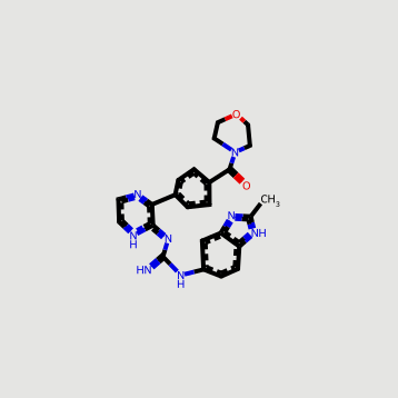 Cc1nc2cc(NC(=N)/N=c3\[nH]ccnc3-c3ccc(C(=O)N4CCOCC4)cc3)ccc2[nH]1